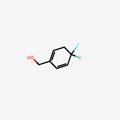 OCC1=CCC(F)(F)C=C1